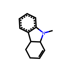 CN1c2ccccc2C2CCC=CC21